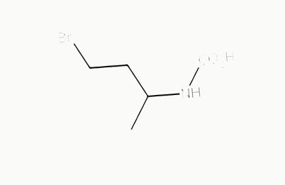 CC(CCBr)NC(=O)O